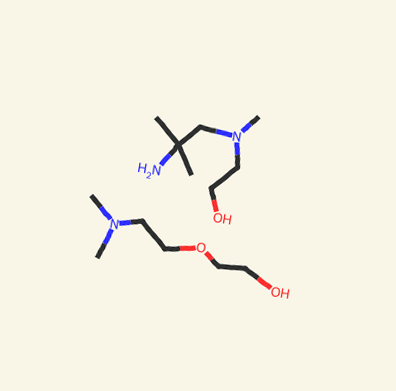 CN(C)CCOCCO.CN(CCO)CC(C)(C)N